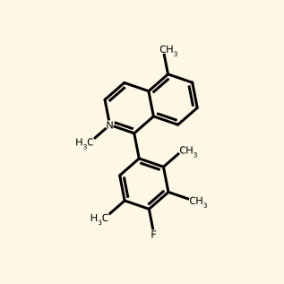 Cc1cc(-c2c3cccc(C)c3cc[n+]2C)c(C)c(C)c1F